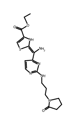 CCOC(=O)C1=CS/C(=C(/N)c2ccnc(NCCCN3CCCC3=O)n2)N1